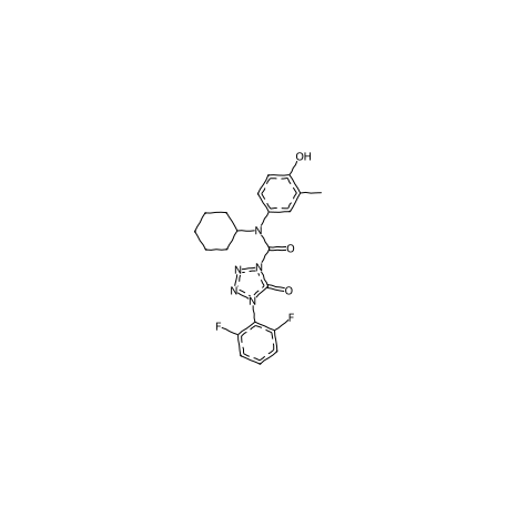 Cc1cc(N(C(=O)n2nnn(-c3c(F)cccc3F)c2=O)C2CCCCC2)ccc1O